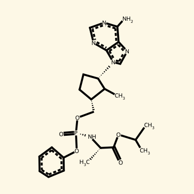 CC(C)OC(=O)[C@H](C)N[P@](=O)(OC[C@@H]1CC[C@H](n2cnc3c(N)ncnc32)C1C)Oc1ccccc1